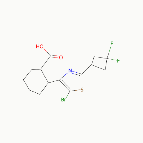 O=C(O)C1CCCCC1c1nc(C2CC(F)(F)C2)sc1Br